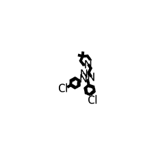 CC1(C)CCN(Cc2nc(-c3ccc(Cl)cc3)n(-c3ccc(Cl)cc3)n2)CC1